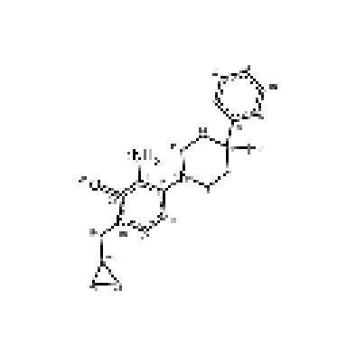 Nc1c(N2CCC(F)(c3ccccc3)CC2)ccn(CC2CC2)c1=O